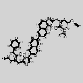 C#COCCN(Cc1nc2ccc3cc(-c4ccc5cc(-c6cnc(CN(CCC)C(=O)Cc7ccccc7)[nH]6)ccc5c4)ccc3c2[nH]1)C(=O)[C@@H](C)C(C)C